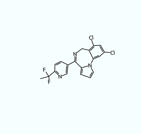 CC(F)(F)c1ccc(C2=NCc3c(Cl)cc(Cl)cc3-n3cccc32)cn1